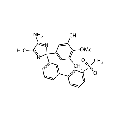 COc1c(C)cc(C2(c3cccc(-c4cccc(S(C)(=O)=O)c4)c3)N=C(C)C(N)=N2)cc1C